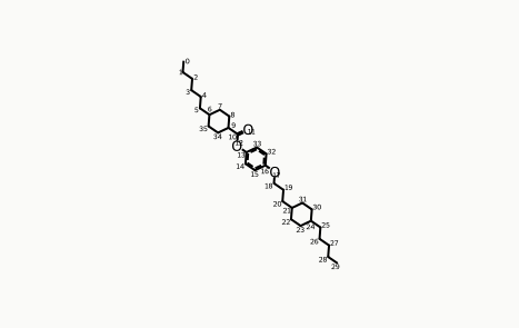 CCCCCCC1CCC(C(=O)Oc2ccc(OCCCC3CCC(CCCCC)CC3)cc2)CC1